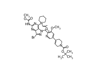 C=C[N+]1(c2nc(NC(=O)OC)nc3c(Br)nn(Cc4ncc(C5=CCN(C(=O)OC(C)(C)C)CC5)cc4OC)c23)CCCCC1